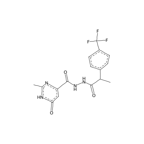 Cc1nc(C(=O)NNC(=O)C(C)c2ccc(C(F)(F)F)cc2)cc(=O)[nH]1